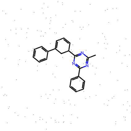 Cc1nc(-c2ccccc2)nc(C2C=CC=C(c3ccccc3)C2)n1